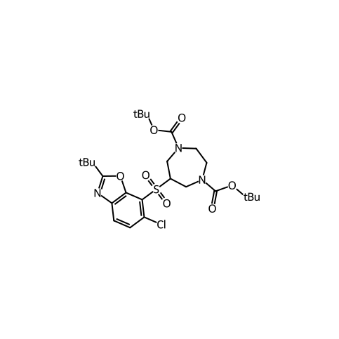 CC(C)(C)OC(=O)N1CCN(C(=O)OC(C)(C)C)CC(S(=O)(=O)c2c(Cl)ccc3nc(C(C)(C)C)oc23)C1